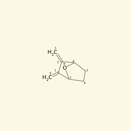 C=C1C(=C)C2CCC1O2